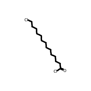 O=C(Cl)CCCCCCCCCCCCCCl